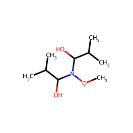 CON(C(O)C(C)C)C(O)C(C)C